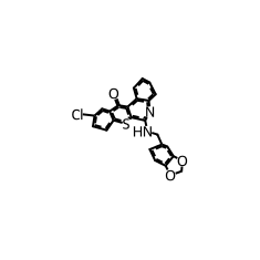 O=c1c2cc(Cl)ccc2sc2c(NCc3ccc4c(c3)OCO4)nc3ccccc3c12